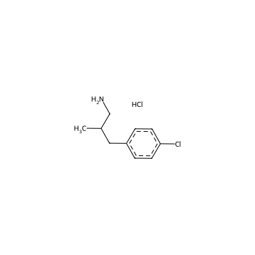 CC(CN)Cc1ccc(Cl)cc1.Cl